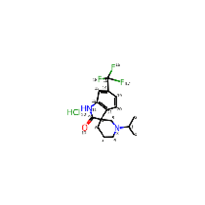 CC(C)N1CCCC2(C1)C(=O)Nc1cc(C(F)(F)F)ccc12.Cl